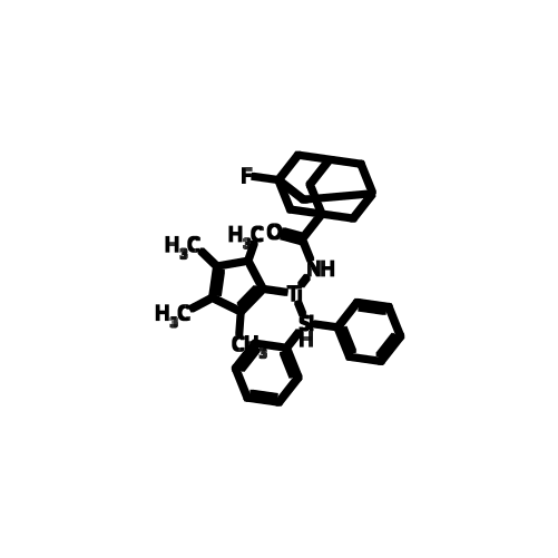 CC1=C(C)C(C)[C]([Ti]([NH]C(=O)C23CC4CC(CC(F)(C4)C2)C3)[SiH](c2ccccc2)c2ccccc2)=C1C